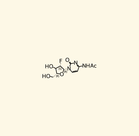 CC(=O)Nc1ccn([C@@H]2O[C@H](CO)C(O)[C@@H]2F)c(=O)n1